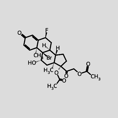 CC(=O)OCC(=O)[C@]1(OC(C)=O)CC[C@H]2[C@@H]3C[C@H](F)C4=CC(=O)C=C[C@]4(C)[C@@]3(Br)[C@@H](O)C[C@@]21C